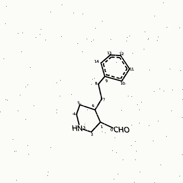 O=CC1CNCCC1CCc1ccccc1